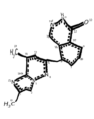 Cc1cn2nc(-c3cccc4c(=O)[nH]ncc34)cc(C)c2n1